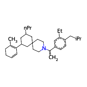 C=C(c1ccc(CC(C)C)c(CC)c1)N1CCC2(CC1)CC(CCC)CC(C1=C(C)CCC=C1)C2